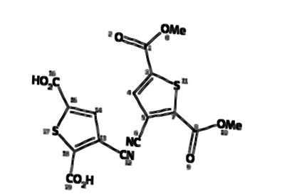 COC(=O)c1cc(C#N)c(C(=O)OC)s1.N#Cc1cc(C(=O)O)sc1C(=O)O